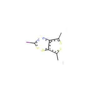 Cc1sc(C)c2sc(I)nc12